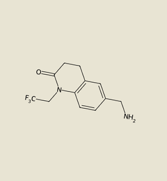 NCc1ccc2c(c1)CCC(=O)N2CC(F)(F)F